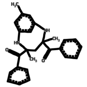 Cc1cc2cc(c1)NC(C)(C(=O)c1ccccc1)CC(C)(C(=O)c1ccccc1)N2